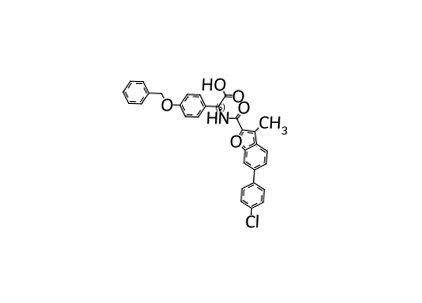 Cc1c(C(=O)N[C@H](C(=O)O)c2ccc(OCc3ccccc3)cc2)oc2cc(-c3ccc(Cl)cc3)ccc12